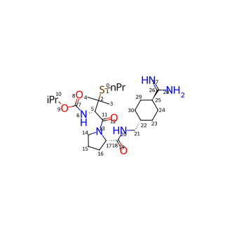 CCCSC(C)(C)[C@@H](NC(=O)OC(C)C)C(=O)N1CCC[C@H]1C(=O)NC[C@H]1CC[C@H](C(=N)N)CC1